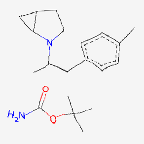 CC(C)(C)OC(N)=O.Cc1ccc(CC(C)N2CCC3CC32)cc1